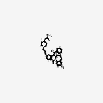 CC(=O)NC1CCN(CCOc2ccc(C(=O)N3CCCCc4cc(Cl)ccc43)c(NC(=O)c3ccccc3)n2)CC1